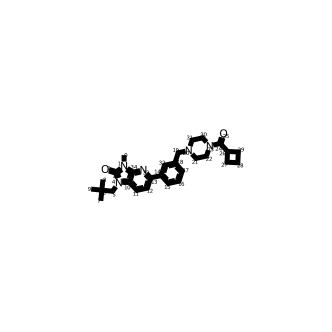 Cn1c(=O)n(CC(C)(C)C)c2ccc(-c3cccc(CN4CCN(C(=O)C5CCC5)CC4)c3)nc21